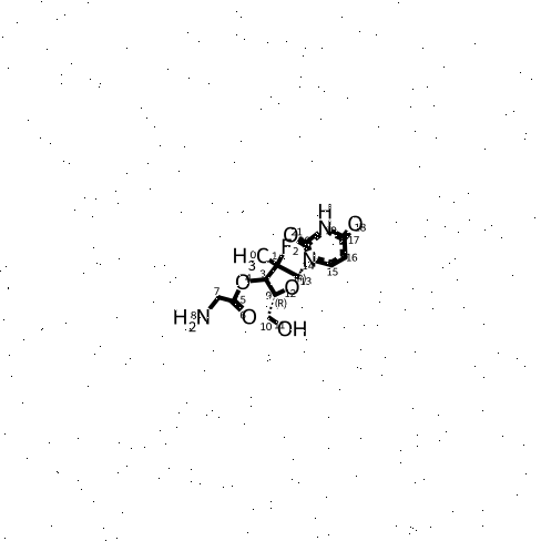 CC1(F)C(OC(=O)CN)[C@@H](CO)O[C@H]1n1ccc(=O)[nH]c1=O